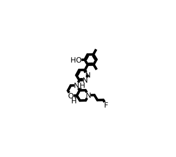 Cc1cc(C)c(-c2ccc(N3CCO[C@@H]4CCN(CCCF)C[C@@H]43)nn2)c(O)c1